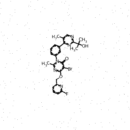 Cc1cnc(C(C)(C)O)nc1-c1cccc(-n2c(C)nc(OCc3cccc(F)n3)c(Br)c2=O)c1